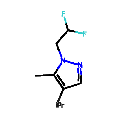 Cc1c(C(C)C)cnn1CC(F)F